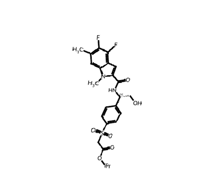 Cc1cc2c(cc(C(=O)N[C@H](CO)c3ccc(S(=O)(=O)CC(=O)OC(C)C)cc3)n2C)c(F)c1F